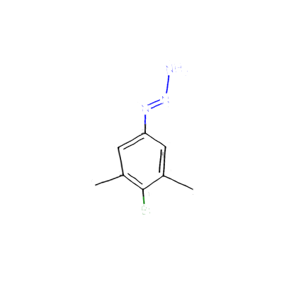 Cc1cc(N=NN)cc(C)c1Br